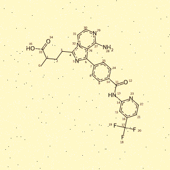 CC(CCc1nc(-c2ccc(C(=O)Nc3cc(C(F)(F)F)ccn3)cc2)c2c(N)nccn12)C(=O)O